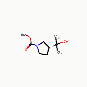 CC(C)(C)OC(=O)N1CC[C@@H](C(O)(C(F)(F)F)C(F)(F)F)C1